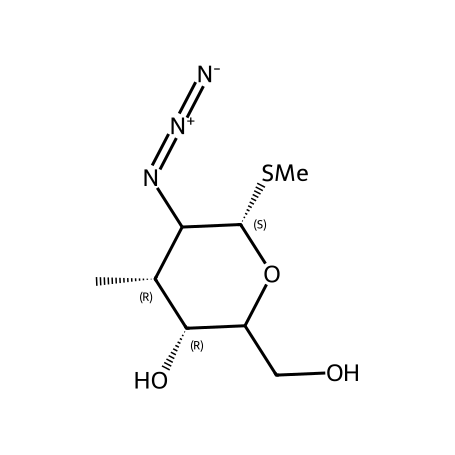 CS[C@@H]1OC(CO)[C@H](O)[C@H](C)C1N=[N+]=[N-]